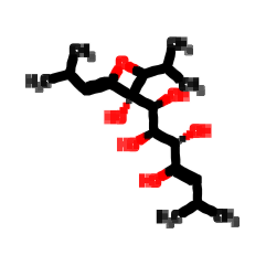 CC(C)C=C(O)[C@@H](O)[C@@H](O)[C@H](O)[C@@]1(O)C(=CC(C)C)OC1C(C)C